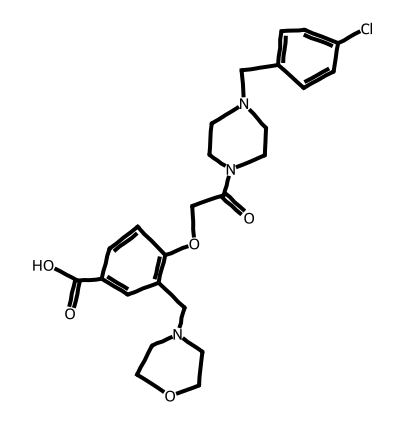 O=C(O)c1ccc(OCC(=O)N2CCN(Cc3ccc(Cl)cc3)CC2)c(CN2CCOCC2)c1